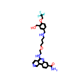 NC(=O)c1ccc2c(c1)nc(NCCOCCCCNCc1ccc(OCC(F)(F)F)c(CO)c1)c1ccncc12